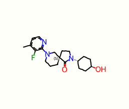 Cc1ccnc(N2CCC[C@]3(CCN([C@H]4CC[C@H](O)CC4)C3=O)C2)c1F